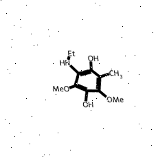 CCNc1c(O)c(C)c(OC)c(O)c1OC